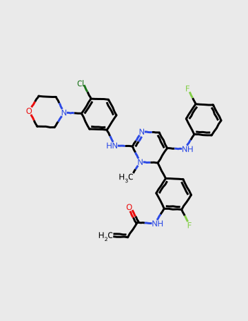 C=CC(=O)Nc1cc(C2C(Nc3cccc(F)c3)=CN=C(Nc3ccc(Cl)c(N4CCOCC4)c3)N2C)ccc1F